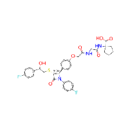 O=C(COc1ccc([C@@H]2[C@@H](SCC(O)c3ccc(F)cc3)C(=O)N2c2ccc(F)cc2)cc1)NCC(=O)NC1(C(=O)O)CCCC1